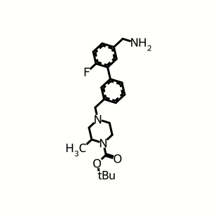 CC1CN(Cc2cccc(-c3cc(CN)ccc3F)c2)CCN1C(=O)OC(C)(C)C